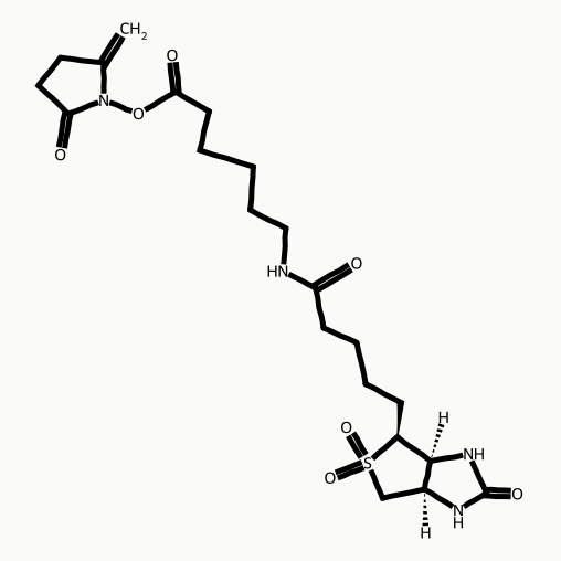 C=C1CCC(=O)N1OC(=O)CCCCCNC(=O)CCCC[C@H]1[C@H]2NC(=O)N[C@H]2CS1(=O)=O